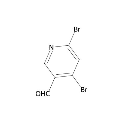 O=Cc1cnc(Br)cc1Br